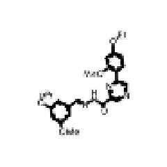 CCCOc1cc(C=NNC(=O)c2cncc(-c3ccc(OCC)cc3OC)n2)cc(OC)c1